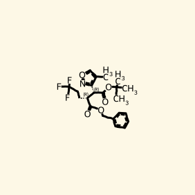 Cc1conc1[C@H](C(=O)OC(C)(C)C)[C@@H](CCC(F)(F)F)C(=O)OCc1ccccc1